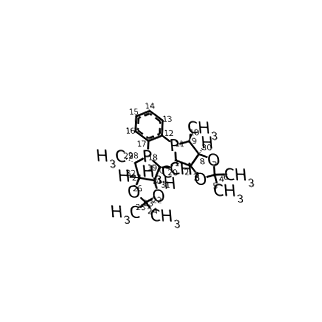 C[C@H]1C2OC(C)(C)O[C@@H]2[C@H](C)P1c1ccccc1P1[C@@H](C)[C@H]2OC(C)(C)O[C@@H]2[C@@H]1C